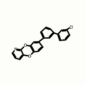 Clc1cccc(-c2cccc(-c3ccc4c(c3)Oc3ncccc3O4)c2)c1